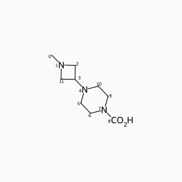 CN1CC(N2CCN(C(=O)O)CC2)C1